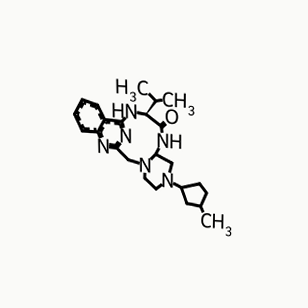 CC1CCC(N2CCN3Cc4nc(c5ccccc5n4)N[C@@H](C(C)C)C(=O)NC3C2)C1